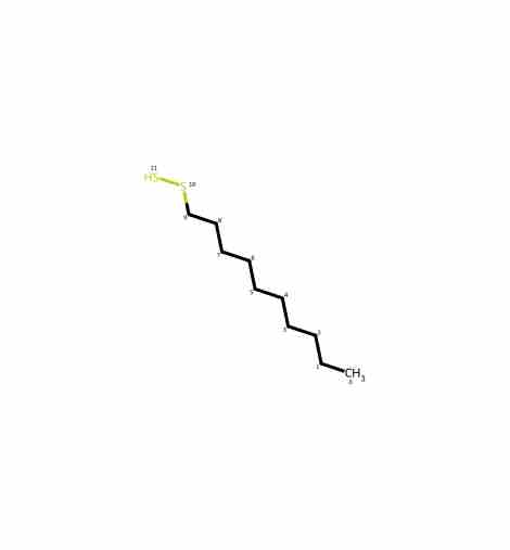 CCCCCCCCCCSS